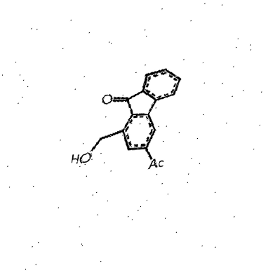 CC(=O)c1cc(CO)c2c(c1)-c1ccccc1C2=O